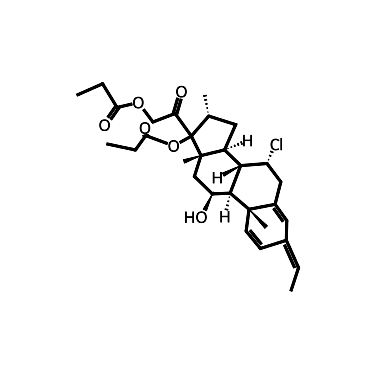 C/C=C1\C=C[C@@]2(C)C(=C1)C[C@@H](Cl)[C@@H]1[C@@H]2[C@@H](O)C[C@@]2(C)[C@H]1C[C@@H](C)C2(OC(=O)CC)C(=O)COC(=O)CC